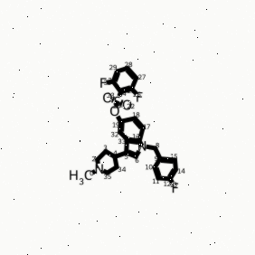 CN1CCC(c2cn(Cc3ccc(F)cc3)c3ccc(OS(=O)(=O)c4c(F)cccc4F)cc23)CC1